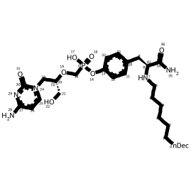 CCCCCCCCCCCCCCCCN[C@@H](Cc1ccc(OP(=O)(O)CO[C@H](CO)Cn2ccc(N)nc2=O)cc1)C(N)=O